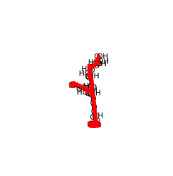 C[C@H](CCCOP(=O)(O)N[C@@H](CCC(=O)O)C(=O)O)NC(=O)CC[C@H](NC(=O)CCCCCNC(=O)CC[C@@H](NC(=O)CCOCCOCCOCCOCCNC(=O)CCC(=O)C1Cc2ccccc2/C=C\c2ccccc21)C(=O)N[C@@H](CCCCNC(=O)CCCc1ccc(I)cc1)C(=O)O)C(=O)O